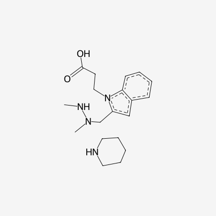 C1CCNCC1.CNN(C)Cc1cc2ccccc2n1CCC(=O)O